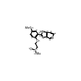 CCCC[S+]([O-])CCOc1ccc(SC)cc1-c1nc2cnccc2[nH]1